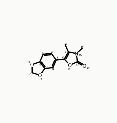 Cc1c(-c2ccc3c(c2)OCO3)oc(=O)n1C